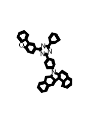 C1=C2c3c(ccc4ccccc34)N(c3ccc(-c4nc(-c5ccccc5)nc(-c5ccc6oc7ccccc7c6c5)n4)cc3)C2Cc2ccccc21